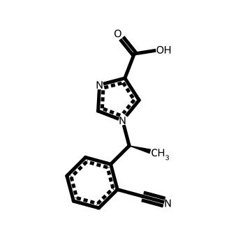 C[C@@H](c1ccccc1C#N)n1cnc(C(=O)O)c1